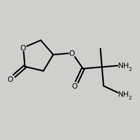 CC(N)(CN)C(=O)OC1COC(=O)C1